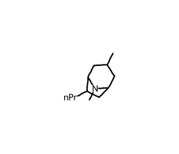 CCCC1CC2CC(C)CC1N2C